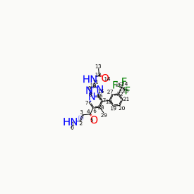 CN/C=C/C(=O)c1cn2nc(NC(C)=O)nc2c(-c2cccc(C(F)(F)F)c2)c1C